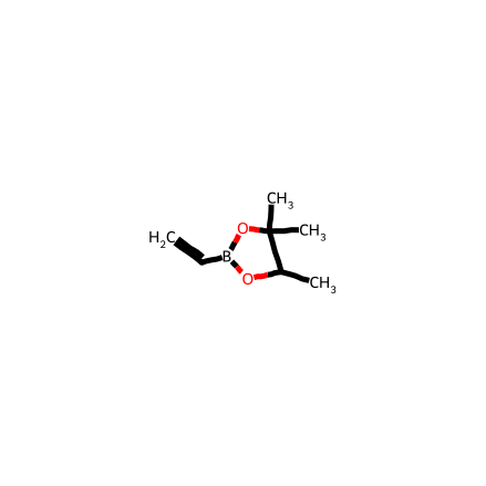 C=CB1OC(C)C(C)(C)O1